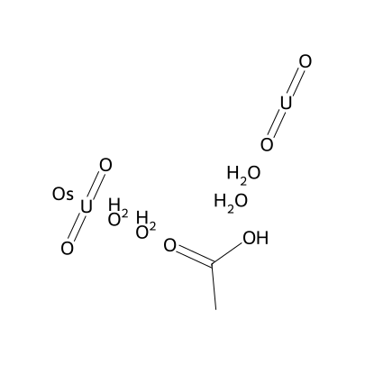 CC(=O)O.O.O.O.O.[O]=[U]=[O].[O]=[U]=[O].[Os]